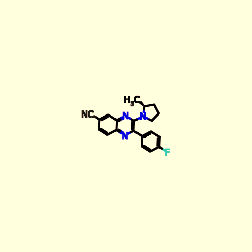 C[C@H]1CCCN1c1nc2cc(C#N)ccc2nc1-c1ccc(F)cc1